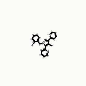 Cc1c(-c2ccccn2)nn(Cc2ccccc2F)c1-c1ccccn1